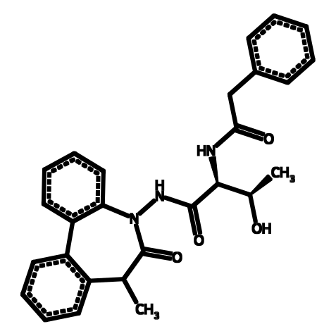 CC1C(=O)N(NC(=O)[C@@H](NC(=O)Cc2ccccc2)[C@@H](C)O)c2ccccc2-c2ccccc21